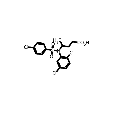 CC(CCC(=O)O)N(c1cc(Cl)ccc1Cl)S(=O)(=O)c1ccc(Cl)cc1